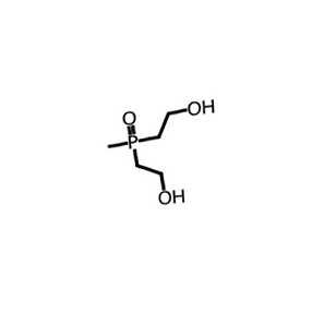 CP(=O)(CCO)CCO